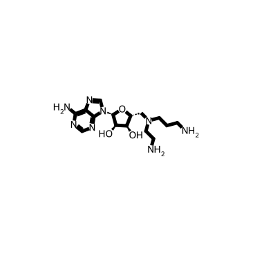 NCCCN(CCN)C[C@H]1O[C@@H](n2cnc3c(N)ncnc32)[C@H](O)[C@@H]1O